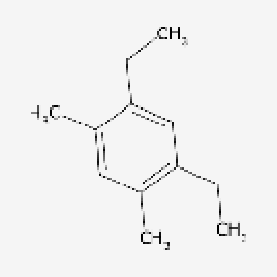 CCc1cc(CC)c(C)cc1C